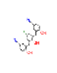 N#Cc1ccc(O)c(Cc2cc(F)cc(Cc3cc(C#N)ccc3O)c2O)c1